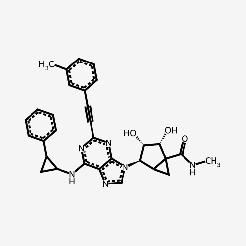 CNC(=O)C12CC1[C@@H](n1cnc3c(NC4CC4c4ccccc4)nc(C#Cc4cccc(C)c4)nc31)[C@H](O)[C@@H]2O